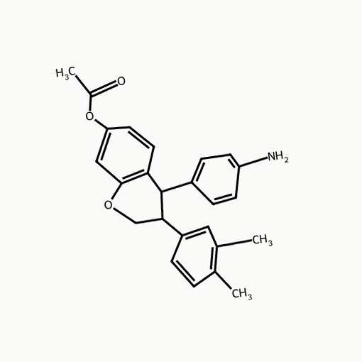 CC(=O)Oc1ccc2c(c1)OCC(c1ccc(C)c(C)c1)C2c1ccc(N)cc1